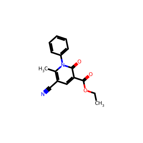 CCOC(=O)c1cc(C#N)c(C)n(-c2ccccc2)c1=O